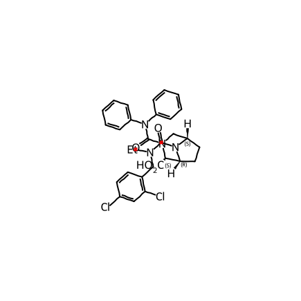 CCN(Cc1ccc(Cl)cc1Cl)C(=O)N1[C@H]2CC[C@@H]1[C@@H](C(=O)O)N(C(=O)N(c1ccccc1)c1ccccc1)C2